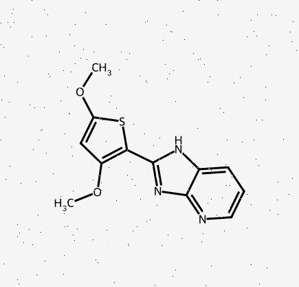 COc1cc(OC)c(-c2nc3ncccc3[nH]2)s1